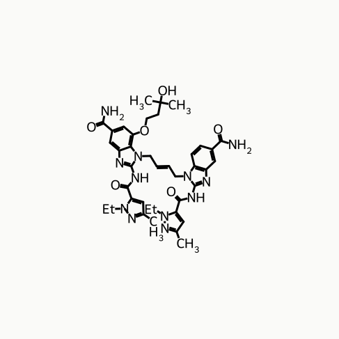 CCn1nc(C)cc1C(=O)Nc1nc2cc(C(N)=O)ccc2n1C/C=C/Cn1c(NC(=O)c2cc(C)nn2CC)nc2cc(C(N)=O)cc(OCCC(C)(C)O)c21